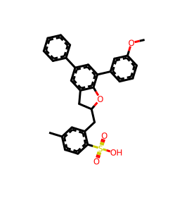 COc1cccc(-c2cc(-c3ccccc3)cc3c2OC(Cc2cc(C)ccc2S(=O)(=O)O)C3)c1